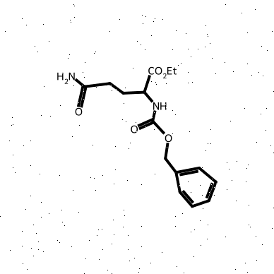 CCOC(=O)C(CCC(N)=O)NC(=O)OCc1ccccc1